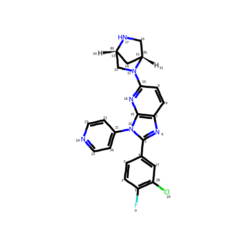 Fc1ccc(-c2nc3ccc(N4C[C@H]5C[C@@H]4CN5)nc3n2-c2ccncc2)cc1Cl